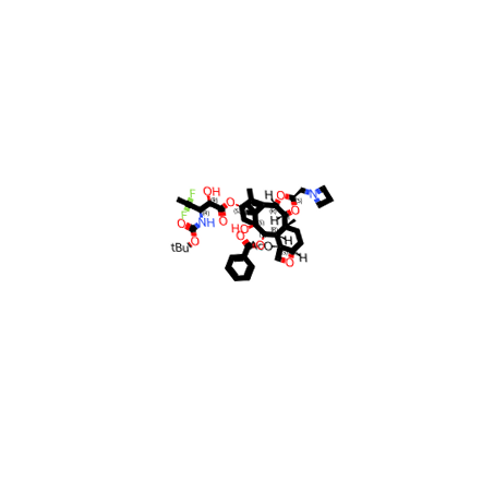 CC(=O)O[C@@]12CO[C@@H]1CC[C@@]1(C)[C@@H]3O[C@H](CN4CCC4)O[C@@H]3C3=C(C)[C@@H](OC(=O)[C@H](O)[C@@H](NC(=O)OC(C)(C)C)C(C)(F)F)C[C@@](O)([C@@H](OC(=O)c4ccccc4)[C@@H]12)C3(C)C